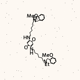 CCN(CCCCCCNC1=CC(=O)C(NCCCCCCN(CC)Cc2ccccc2OC)=CC1=O)Cc1ccccc1OC